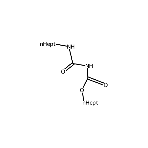 CCCCCCCNC(=O)NC(=O)OCCCCCCC